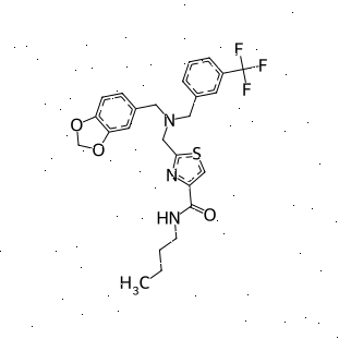 CCCCNC(=O)c1csc(CN(Cc2cccc(C(F)(F)F)c2)Cc2ccc3c(c2)OCO3)n1